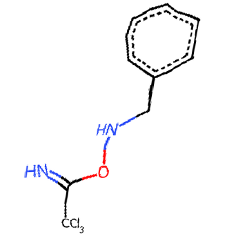 N=C(ONCc1ccccc1)C(Cl)(Cl)Cl